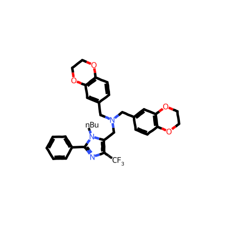 CCCCn1c(-c2ccccc2)nc(C(F)(F)F)c1CN(Cc1ccc2c(c1)OCCO2)Cc1ccc2c(c1)OCCO2